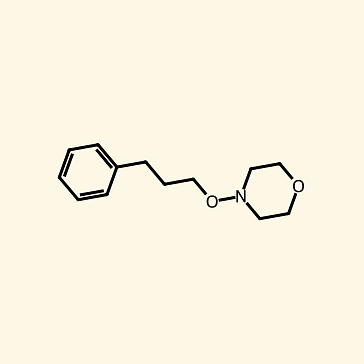 c1ccc(CCCON2CCOCC2)cc1